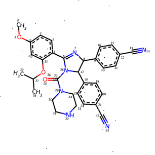 COc1ccc(C2=NC(c3ccc(C#N)cc3)C(c3ccc(C#N)cc3)N2C(=O)N2CCNCC2)c(OC(C)C)c1